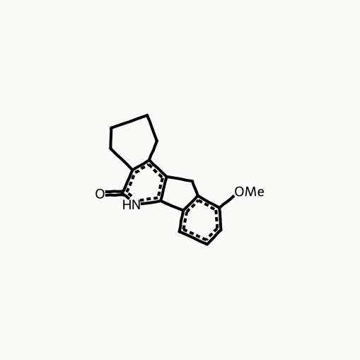 COc1cccc2c1Cc1c-2[nH]c(=O)c2c1CCCC2